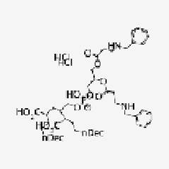 CCCCCCCCCCCCC(CC(COP(=O)(O)OCC(COC(=O)CCNCc1ccccc1)OC(=O)CCNCc1ccccc1)C(CCCCCCCCCCCC)C(=O)O)C(=O)O.Cl.Cl